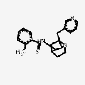 Cc1ccccc1C(=S)NC1C2CCN(CC2)C1Cc1cccnc1